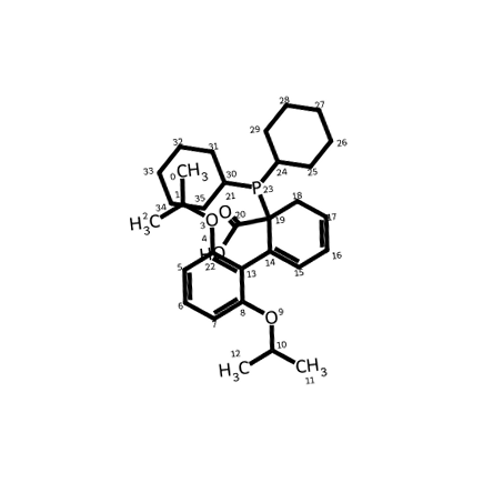 CC(C)Oc1cccc(OC(C)C)c1C1=CC=CCC1(C(=O)O)P(C1CCCCC1)C1CCCCC1